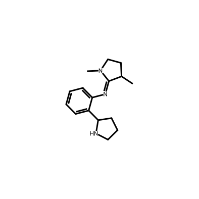 CC1CCN(C)C1=Nc1ccccc1C1CCCN1